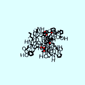 CC[C@H](C)[C@H](NC(=O)[C@H](Cc1ccccc1)NC(=O)[C@H](C)N)C(=O)N[C@@H](CCC(=O)O)C(=O)N[C@@H](Cc1ccc(O)cc1)C(=O)N[C@@H](CC(C)C)C(=O)N[C@@H](CC(C)C)C(=O)N[C@@H](CCC(=O)O)C(=O)NCC(=O)NCC(=O)N1CCC[C@H]1C(=O)N[C@@H](CO)C(=O)N[C@@H](CO)C(=O)NCC(=O)N[C@@H](C)C(=O)N1CCC[C@H]1C(=O)N1CCC[C@H]1C(=O)N1CCC[C@H]1C(=O)O